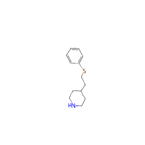 c1ccc(SCCC2CCNCC2)cc1